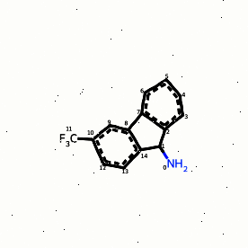 NC1c2ccccc2-c2cc(C(F)(F)F)ccc21